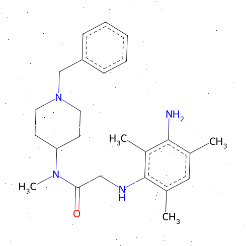 Cc1cc(C)c(NCC(=O)N(C)C2CCN(Cc3ccccc3)CC2)c(C)c1N